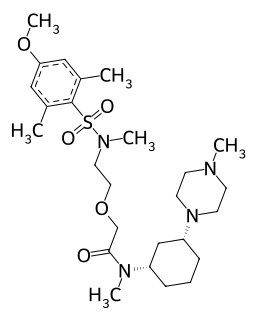 COc1cc(C)c(S(=O)(=O)N(C)CCOCC(=O)N(C)[C@H]2CCC[C@@H](N3CCN(C)CC3)C2)c(C)c1